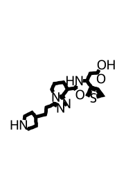 O=C(O)CC(NC(=O)C1CCCn2c(CCC3CCNCC3)nnc21)c1ccsc1